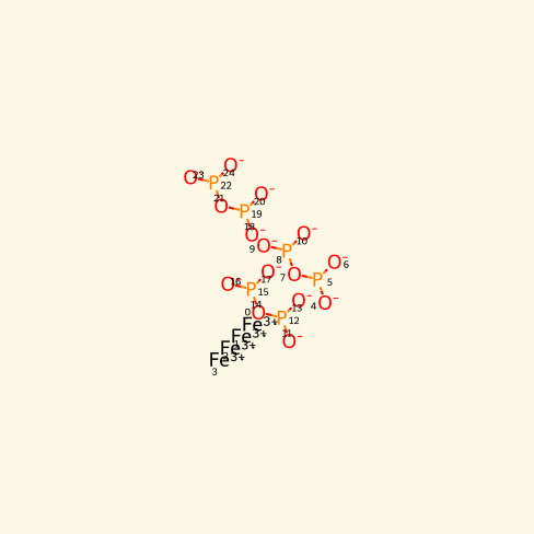 [Fe+3].[Fe+3].[Fe+3].[Fe+3].[O-]P([O-])OP([O-])[O-].[O-]P([O-])OP([O-])[O-].[O-]P([O-])OP([O-])[O-]